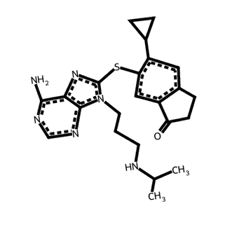 CC(C)NCCCn1c(Sc2cc3c(cc2C2CC2)CCC3=O)nc2c(N)ncnc21